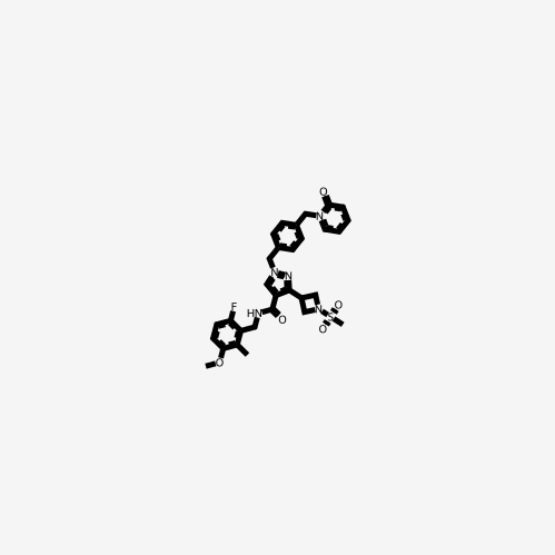 COc1ccc(F)c(CNC(=O)c2cn(Cc3ccc(Cn4ccccc4=O)cc3)nc2C2CN(S(C)(=O)=O)C2)c1C